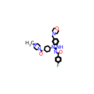 CN1CCN(C(=O)[C@H]2CC[C@@H](n3/c(=N/C(=O)c4ccc(F)cc4)[nH]c4ccc(CN5CCOCC5)cc43)CC2)CC1